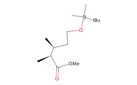 COC(=O)[C@@H](C)[C@@H](C)CCO[Si](C)(C)C(C)(C)C